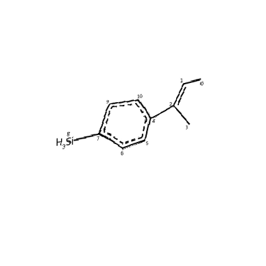 CC=C(C)c1ccc([SiH3])cc1